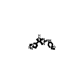 c1cc2nncn2cc1-c1c[nH]c2nc(N[C@H]3CC[C@@]4(CCO4)CC3)ncc12